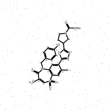 COC(=O)N1CCC(c2nnc(-c3cc4c(cc3F)S(=O)(=O)C=C(N)C(=O)N4Cc3ccc(Cl)cc3)o2)C1